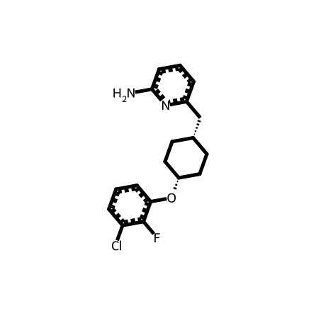 Nc1cccc(C[C@H]2CC[C@@H](Oc3cccc(Cl)c3F)CC2)n1